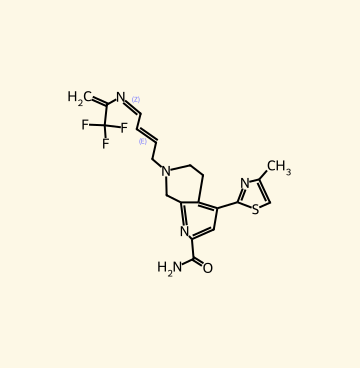 C=C(/N=C\C=C\CN1CCc2c(-c3nc(C)cs3)cc(C(N)=O)nc2C1)C(F)(F)F